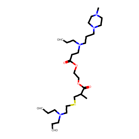 CC(CSCCN(CCC=O)CCC=O)C(=O)OCCOC(=O)CCN(CCC=O)CCCN1CCN(C)CC1